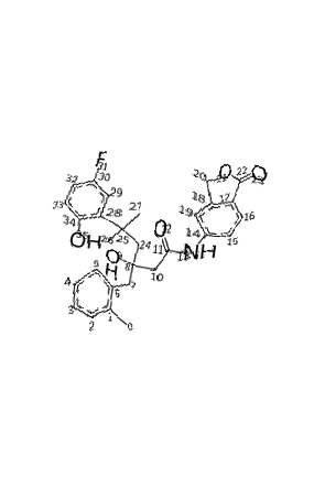 Cc1ccccc1CC(O)(CC(=O)Nc1ccc2c(c1)COC2=O)CC(C)(C)c1cc(F)ccc1O